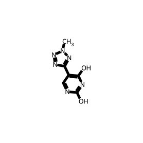 Cn1nnc(-c2cnc(O)nc2O)n1